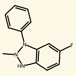 CN1Nc2ccc(F)cc2N1c1ccccc1